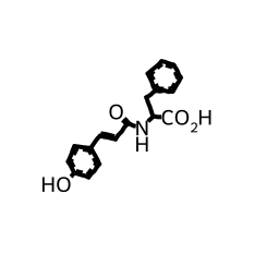 O=C(C=Cc1ccc(O)cc1)NC(Cc1ccccc1)C(=O)O